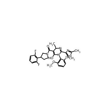 COc1cccc(OC)c1N1C(c2csc(C)n2)=NC(C)C(C(=O)N2CCC(c3c(F)cccc3F)C2)=C1O